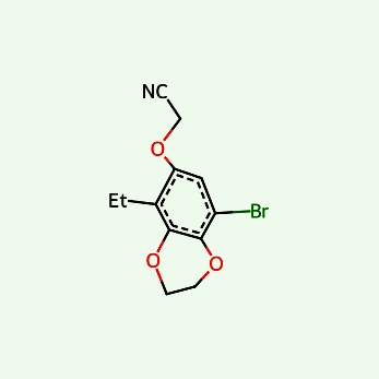 CCc1c(OCC#N)cc(Br)c2c1OCCO2